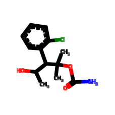 CC(O)C(c1ccccc1Cl)C(C)(C)OC(N)=O